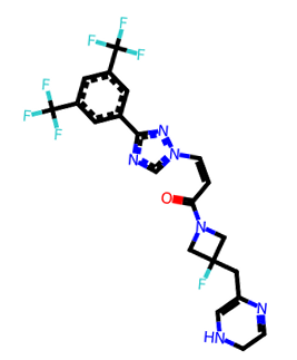 O=C(/C=C\n1cnc(-c2cc(C(F)(F)F)cc(C(F)(F)F)c2)n1)N1CC(F)(CC2=CNCC=N2)C1